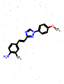 Nc1ccc(C=Cc2ncn(-c3ccc(OC(F)(F)F)cc3)n2)cc1C(F)(F)F